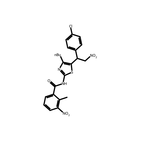 CCCCc1nc(NC(=O)c2cccc([N+](=O)[O-])c2C)sc1C(C[N+](=O)[O-])c1ccc(Cl)cc1